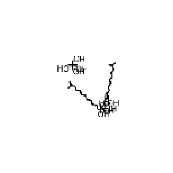 CC(C)CCCCCCCCCC[PH](O)(O)O[PH](O)(O)CCCCCCCCCCC(C)C.OCC(CO)(CO)CO